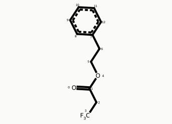 O=C(CC(F)(F)F)OCCc1ccccc1